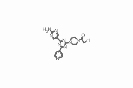 Nc1ncc(-c2nc(-c3ccncc3)nc(N3CCN(C(=O)CCl)CC3)n2)cn1